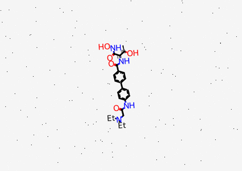 CCN(CC)CC(=O)Nc1ccc(-c2ccc(C(=O)N[C@H](C(=O)NO)[C@@H](C)O)cc2)cc1